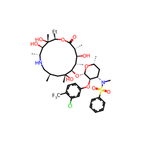 CC[C@H]1OC(=O)[C@H](C)[C@@H](O)[C@H](C)[C@@H](O[C@@H]2O[C@H](C)C[C@H](N(C)S(=O)(=O)c3ccccc3)[C@H]2Oc2ccc(C(F)(F)F)c(Cl)c2)[C@](C)(O)C[C@@H](C)CN[C@H](C)[C@@H](O)[C@]1(C)O